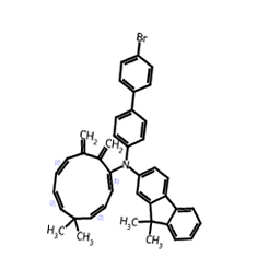 C=C1/C=C\C=C/C(C)(C)/C=C\C=C(\N(c2ccc(-c3ccc(Br)cc3)cc2)c2ccc3c(c2)C(C)(C)c2ccccc2-3)C1=C